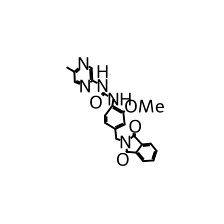 COc1cc(CN2C(=O)c3ccccc3C2=O)ccc1NC(=O)Nc1cnc(C)cn1